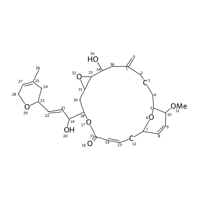 C=C1CCCC2OC(C=CC2OC)CC=CC(=O)OC(C(O)C=CC2CC(C)=CCO2)CC2OC2C(O)C1